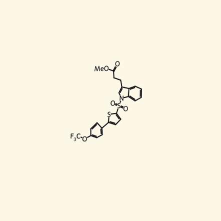 COC(=O)CCc1cn(S(=O)(=O)c2ccc(-c3ccc(OC(F)(F)F)cc3)s2)c2ccccc12